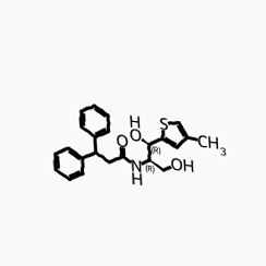 Cc1csc([C@H](O)[C@@H](CO)NC(=O)CC(c2ccccc2)c2ccccc2)c1